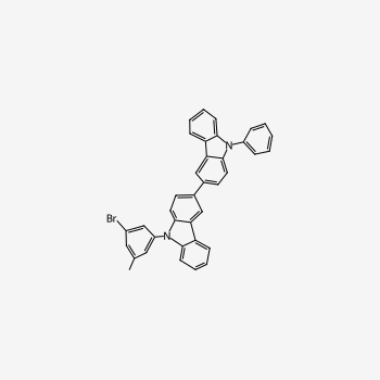 Cc1cc(Br)cc(-n2c3ccccc3c3cc(-c4ccc5c(c4)c4ccccc4n5-c4ccccc4)ccc32)c1